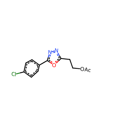 CC(=O)OCCc1nnc(-c2ccc(Cl)cc2)o1